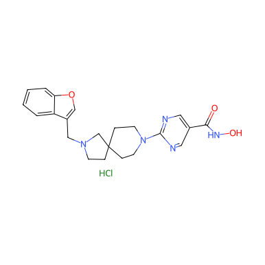 Cl.O=C(NO)c1cnc(N2CCC3(CCN(Cc4coc5ccccc45)C3)CC2)nc1